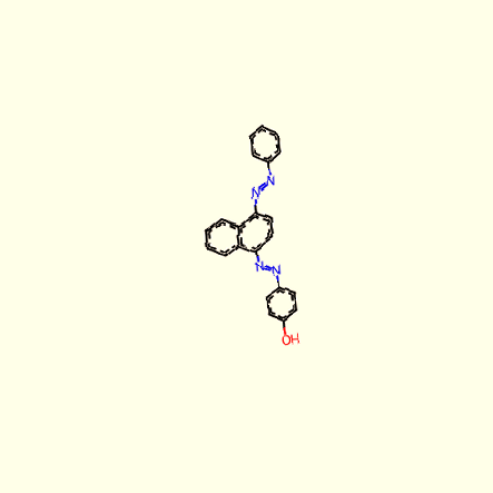 Oc1ccc(N=Nc2ccc(N=Nc3ccccc3)c3ccccc23)cc1